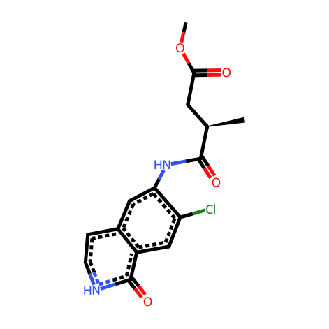 COC(=O)C[C@@H](C)C(=O)Nc1cc2cc[nH]c(=O)c2cc1Cl